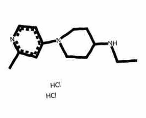 CCNC1CCN(c2ccnc(C)c2)CC1.Cl.Cl